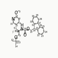 COc1ccc([C@@H](C)[C@H](COC(C)(C)C)NC(=O)OCC2c3ccccc3-c3ccccc32)cn1